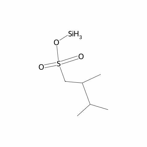 CC(C)C(C)CS(=O)(=O)O[SiH3]